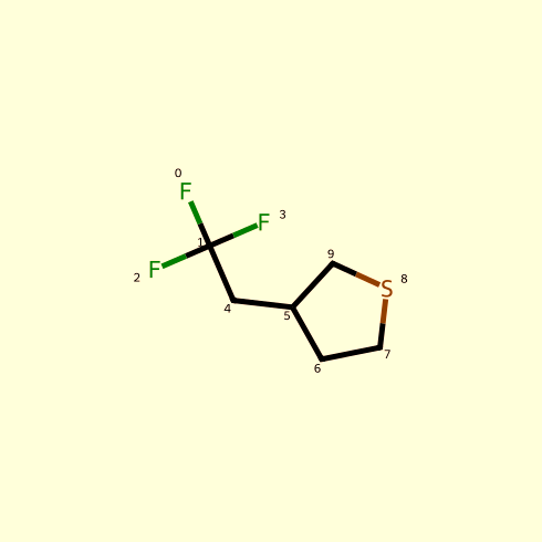 FC(F)(F)CC1CCSC1